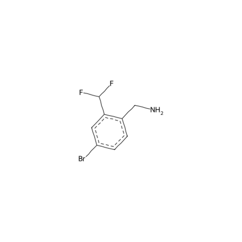 NCc1ccc(Br)cc1C(F)F